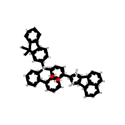 CC1(C)c2ccccc2-c2ccc(N(c3ccc(-c4nc5c(s4)-c4cccc6cccc-5c46)cc3)c3ccccc3-c3ccccc3)cc21